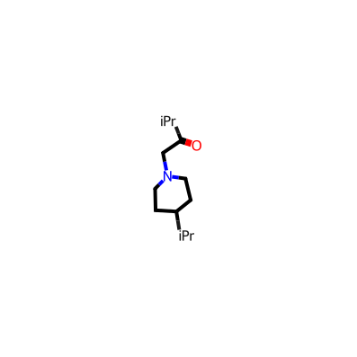 CC(C)C(=O)CN1CCC(C(C)C)CC1